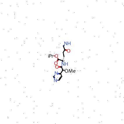 CO[C@H](C(=O)N[C@@H](CCC(=O)C=N)C(=O)OC(C)C)c1ccncn1